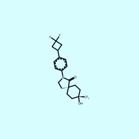 O=C1N(c2ccc(C3CC(F)(F)C3)cc2)CC[C@]12CC[C@](O)(C(F)(F)F)CC2